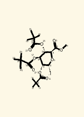 COC(=O)[C@H]1O[C@H](I)[C@H](OC(=O)C(C)(C)C)[C@@H](OC(=O)C(C)(C)C)[C@@H]1OC(=O)C(C)(C)C